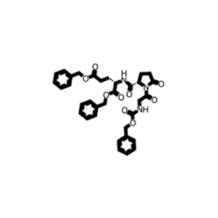 O=C(CC[C@H](NC(=O)[C@@H]1CCC(=O)N1C(=O)CNC(=O)OCc1ccccc1)C(=O)OCc1ccccc1)OCc1ccccc1